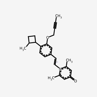 CC#CCOc1cc(/C=C/n2c(C)cc(=O)cc2C)ccc1C1CCC1C